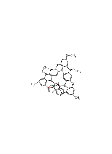 CSc1cc2c3c(c1)N(SC)c1cc4c(cc1B3c1cc3c(cc1O2)N(SC)c1cc(C)cc2c1B3c1sc3ccccc3c1O2)B1c2sc3ccccc3c2Oc2cc(C)cc(c21)O4